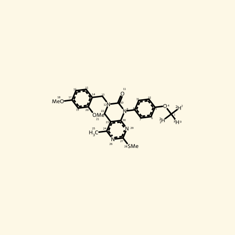 [2H]C([2H])([2H])Oc1ccc(N2C(=O)N(Cc3ccc(OC)cc3OC)Cc3c(C)nc(SC)nc32)cc1